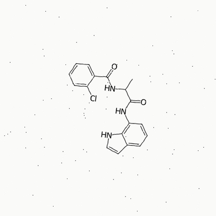 CC(NC(=O)c1ccccc1Cl)C(=O)Nc1cccc2cc[nH]c12